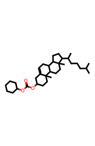 CC(C)CCCC(C)C1CCC2C3CC=C4CC(OC(=O)OC5CCCCC5)CCC4(C)C3CCC12C